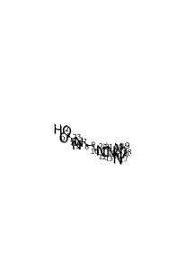 O=C(O)c1cnn(CCCCN2CCN(c3ncccn3)CC2)c1